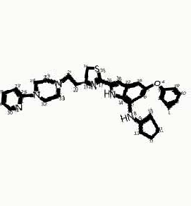 c1ccc(Oc2cc(NC3CCCC3)c3[nH]c(C4=N[C@@H](CCN5CCN(c6ccccn6)CC5)CS4)cc3c2)cc1